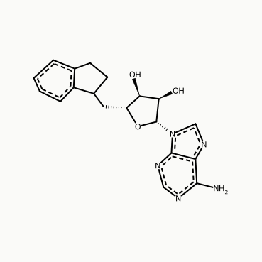 Nc1ncnc2c1ncn2[C@@H]1O[C@H](CC2CCc3ccccc32)[C@@H](O)[C@H]1O